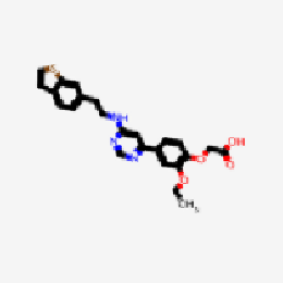 CCOc1cc(-c2cc(NCCc3ccc4ccsc4c3)ncn2)ccc1OCC(=O)O